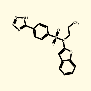 O=S(=O)(c1ccc(-c2nnn[nH]2)cc1)N(CCC(F)(F)F)c1cc2ccccc2s1